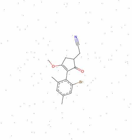 COC1=C(c2c(C)cc(C)cc2Br)C(=O)C(CC#N)C1